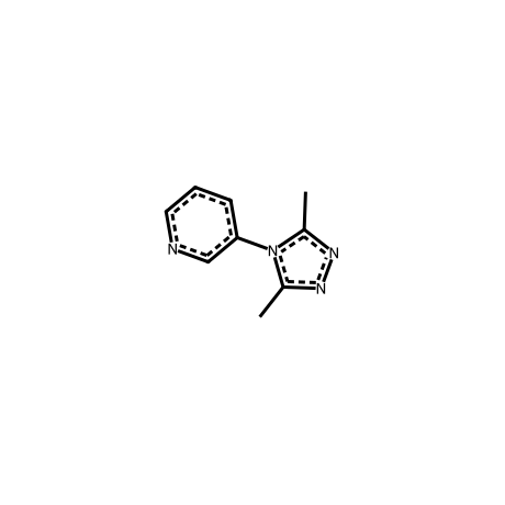 Cc1nnc(C)n1-c1cccnc1